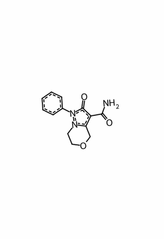 NC(=O)c1c2n(n(-c3ccccc3)c1=O)CCOC2